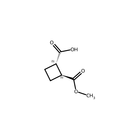 COC(=O)[C@H]1CC[C@@H]1C(=O)O